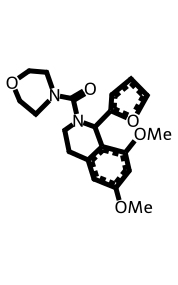 COc1cc2c(c(OC)c1)C(c1ccco1)N(C(=O)N1CCOCC1)CC2